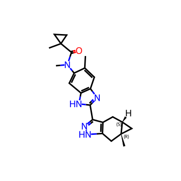 Cc1cc2nc(-c3n[nH]c4c3C[C@@H]3C[C@]3(C)C4)[nH]c2cc1N(C)C(=O)C1(C)CC1